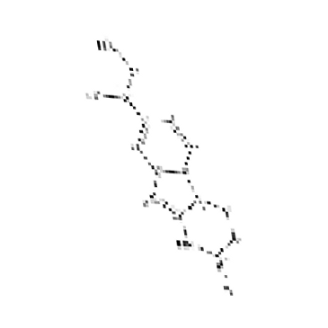 CC[S+]([O-])c1ccc2c(c1)nc1n2CCC(=O)N1